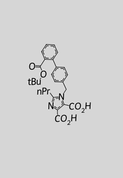 CCCc1nc(C(=O)O)c(C(=O)O)n1Cc1ccc(-c2ccccc2C(=O)OC(C)(C)C)cc1